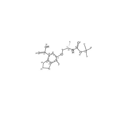 Cc1c(OC[C@H](C)NC(=O)OC(C)(C)C)cc(C(=O)O)c2c1CCC2